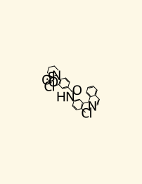 O=C(Nc1ccc(Cl)c(-c2nccc3ccccc23)c1)c1ccc(N2CCCCS2(=O)=O)c(Cl)c1